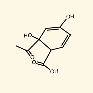 CC(=O)C1(O)C=C(O)C=CC1C(=O)O